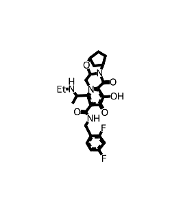 CCNC(C)c1c(C(=O)NCc2ccc(F)cc2F)c(=O)c(O)c2n1CC1OC3CCC(C3)N1C2=O